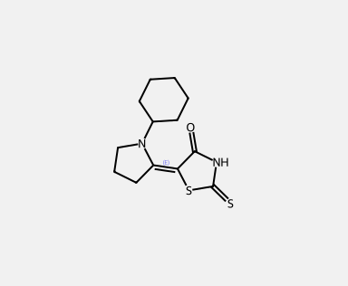 O=C1NC(=S)S/C1=C1\CCCN1C1CCCCC1